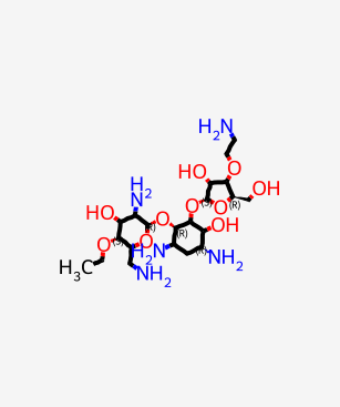 CCO[C@@H]1C(CN)O[C@H](O[C@@H]2C(N)C[C@@H](N)C(O)C2O[C@@H]2O[C@H](CO)C(OCCN)C2O)C(N)C1O